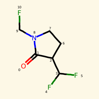 O=C1C(C(F)F)CCN1CF